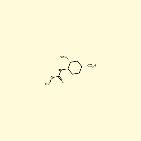 CO[C@@H]1C[C@H](C(=O)O)CC[C@H]1NC(=O)OC(C)(C)C